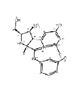 C[C@@]1(C(=O)Nc2cccc(Cl)c2)N[C@@H](CO)[C@@H]([N+](=O)[O-])[C@@H]1c1cc(Cl)nc(Cl)c1